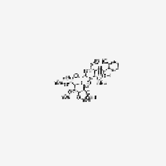 CCCCOCC1O[C@@H](SCC)C(NC(O)c2ccccc2C=O)C(OCCCC)[C@@H]1O[C@@H]1OC(COCCCC)[C@H](OCCCC)C(OCCCC)C1OCCCC